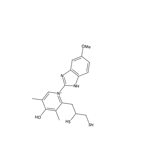 COc1ccc2[nH]c(-[n+]3cc(C)c(O)c(C)c3CC(S)CS)nc2c1